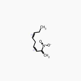 C=C(/C=C\C/C=C\CC)[N+](=O)[O-]